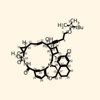 CC(C)(C)[Si](C)(C)OCCC#C[C@]1(O)/C=C/C[C@@H]2C[C@@]2(C)S(=O)(=O)NC(=O)c2ccc3c(c2)N(C[C@@H]2CC[C@H]21)C[C@@]1(CCCc2cc(Cl)ccc21)CO3